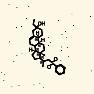 CC[C@]1(O)CC[C@H]2C(=CCC3[C@@H]2CC[C@]2(C)[C@@H]([C@H](C)CS(=O)(=O)c4ccccc4)CC[C@@H]32)C1